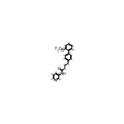 O=C(CCCc1ccc(-c2ccccc2OC(F)(F)F)cc1)Nc1cccnc1